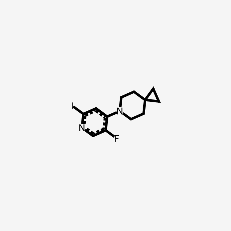 Fc1cnc(I)cc1N1CCC2(CC1)CC2